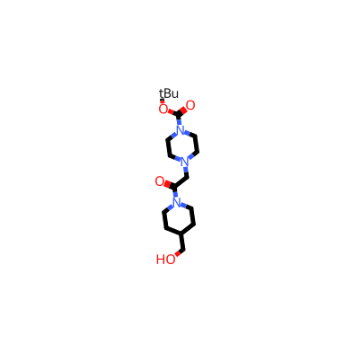 CC(C)(C)OC(=O)N1CCN(CC(=O)N2CCC(CO)CC2)CC1